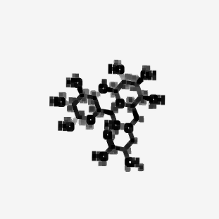 CC(COC[C@H]1O[C@@H](O[C@H]2[C@H](O)[C@@H](O)[C@@H](O)O[C@@H]2CO)[C@H](O)[C@@H](O)[C@H]1O)C(=O)O